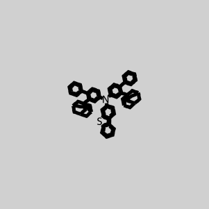 c1ccc(-c2ccc(N(c3ccc(-c4ccccc4)c(C45CC6CC(CC(C6)C4)C5)c3)c3ccc4c(c3)sc3ccccc34)cc2C23CC4CC(CC(C4)C2)C3)cc1